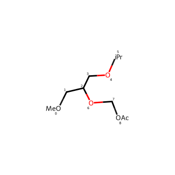 COCC(COC(C)C)OCOC(C)=O